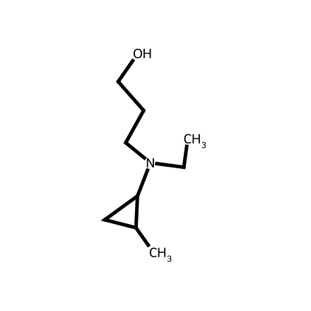 CCN(CCCO)C1CC1C